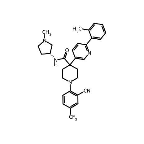 Cc1ccccc1-c1ccc(C2(C(=O)N[C@@H]3CCN(C)C3)CCN(c3ccc(C(F)(F)F)cc3C#N)CC2)cn1